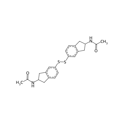 CC(=O)NC1Cc2ccc(SSc3ccc4c(c3)CC(NC(C)=O)C4)cc2C1